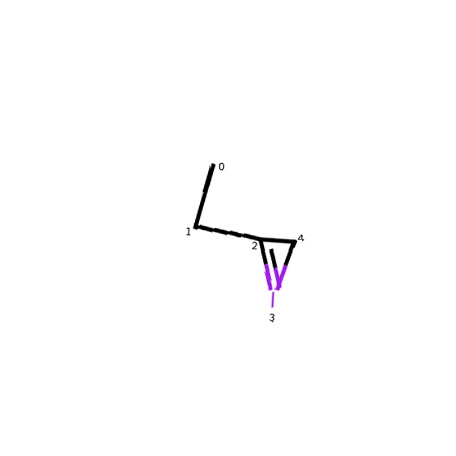 CCC1=IC1